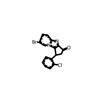 O=C1CC(c2ccccc2Cl)c2c1nc1ccc(Br)cn21